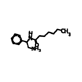 CCCCCCC(=O)NC(CN)c1ccccc1